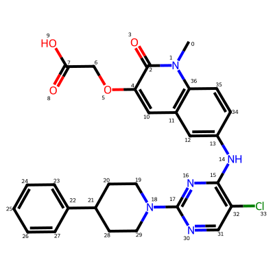 Cn1c(=O)c(OCC(=O)O)cc2cc(Nc3nc(N4CCC(c5ccccc5)CC4)ncc3Cl)ccc21